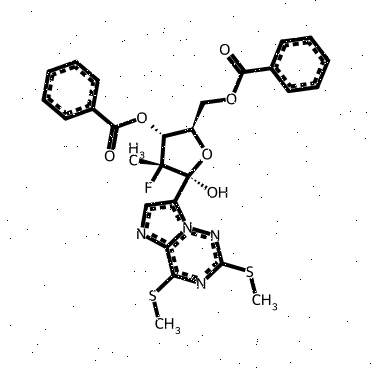 CSc1nc(SC)c2ncc([C@]3(O)O[C@H](COC(=O)c4ccccc4)[C@@H](OC(=O)c4ccccc4)[C@@]3(C)F)n2n1